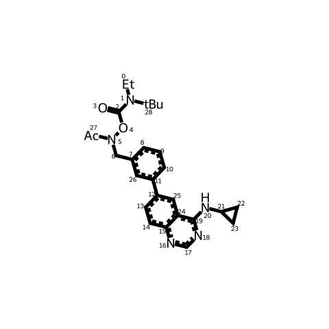 CCN(C(=O)ON(Cc1cccc(-c2ccc3ncnc(NC4CC4)c3c2)c1)C(C)=O)C(C)(C)C